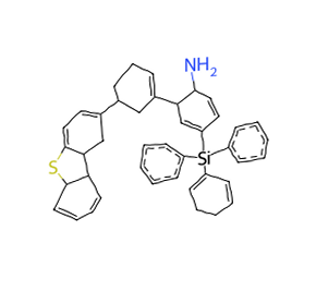 NC1C=CC([Si](C2=CCCC=C2)(c2ccccc2)c2ccccc2)=CC1C1=CCCC(C2=CC=C3SC4C=CC=CC4C3C2)C1